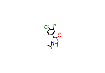 CC(=O)[C@H](CNC(C)C)c1ccc(Cl)c(F)c1